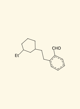 CCC1CCCC(CCc2ccccc2C=O)C1